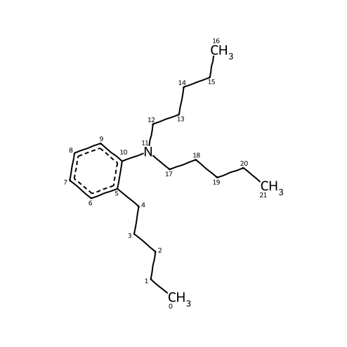 CCCCCc1ccccc1N(CCCCC)CCCCC